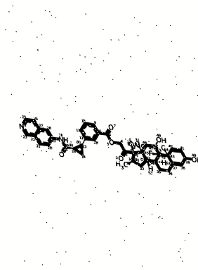 CO[C@]1(C(=O)COC(=O)c2cccc([C@@H]3C[C@H]3C(=O)Nc3ccc4cnccc4c3)c2)[C@H](C)C[C@H]2[C@@H]3CCC4=CC(O)C=C[C@]4(C)[C@@]3(F)[C@@H](O)C[C@@]21C